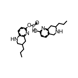 CCCC1CNc2ccc(O[PH](=O)Oc3ccc4c(n3)CC(CCC)NC4)nc2C1